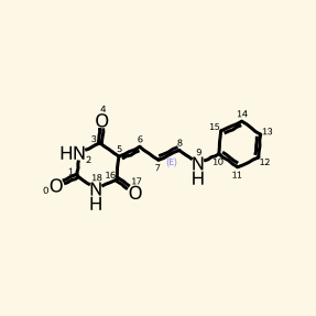 O=C1NC(=O)C(=C/C=C/Nc2ccccc2)C(=O)N1